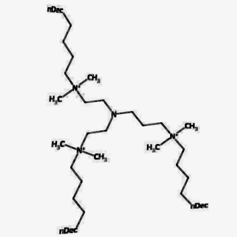 CCCCCCCCCCCCCC[N+](C)(C)CCCN(CC[N+](C)(C)CCCCCCCCCCCCCC)CC[N+](C)(C)CCCCCCCCCCCCCC